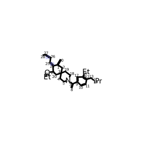 C=C1CC2(CCN(C(=C)c3ccc(CC(C)C)c(CC)c3)CC2)CC(OCC)/C1=C/C=C\C